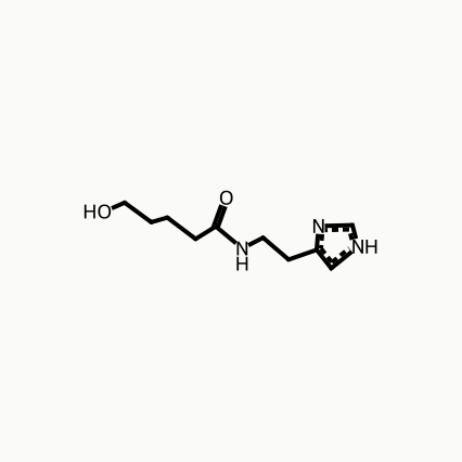 O=C(CCCCO)NCCc1c[nH]cn1